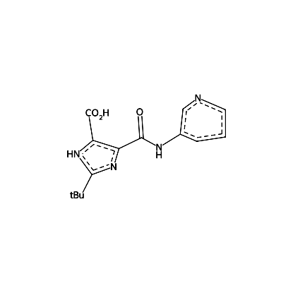 CC(C)(C)c1nc(C(=O)Nc2cccnc2)c(C(=O)O)[nH]1